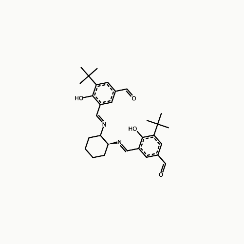 CC(C)(C)c1cc(C=O)cc(/C=N/C2CCCC[C@@H]2/N=C/c2cc(C=O)cc(C(C)(C)C)c2O)c1O